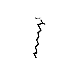 C/C=C/CCCCCCCC(C)OC